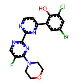 Oc1c(Cl)cc(Br)cc1-c1ccnc(-c2ncc(F)c(N3CCOCC3)n2)n1